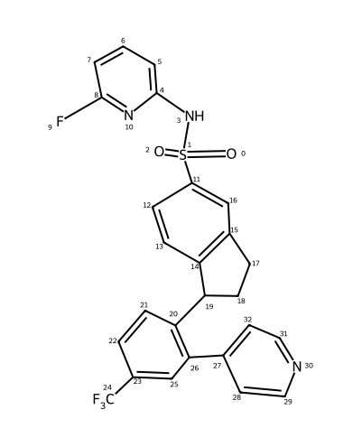 O=S(=O)(Nc1cccc(F)n1)c1ccc2c(c1)CCC2c1ccc(C(F)(F)F)cc1-c1ccncc1